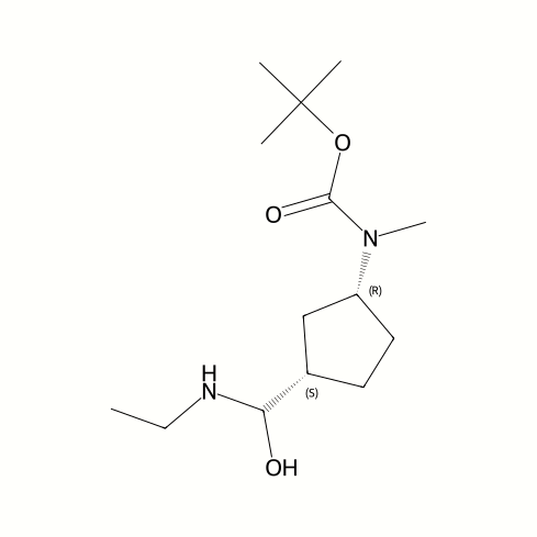 CCNC(O)[C@H]1CC[C@@H](N(C)C(=O)OC(C)(C)C)C1